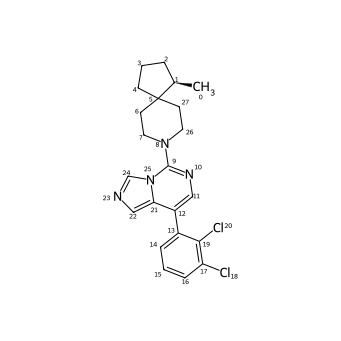 C[C@@H]1CCCC12CCN(c1ncc(-c3cccc(Cl)c3Cl)c3cncn13)CC2